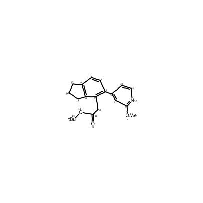 COc1cc(-c2ccc3c(c2CC(=O)OC(C)(C)C)CCC3)ccn1